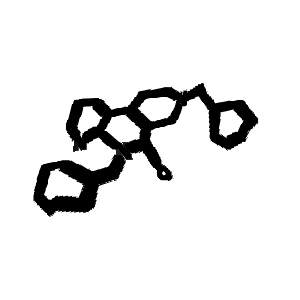 O=c1c2c(c3cccnc3n1Cc1ccccc1)CCN(Cc1ccccc1)C2